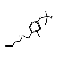 C=CCCNCc1ccc(OC(F)(F)F)cc1C